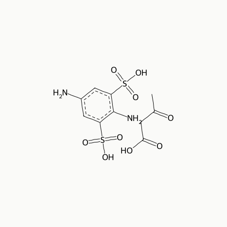 CC(=O)CC(=O)O.Nc1cc(S(=O)(=O)O)c(N)c(S(=O)(=O)O)c1